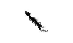 CCCCCCC=CCC(CC(C)=O)OC(=O)CC(CCCC)OC(=O)CC(C)OC(=O)CC(CSc1ccc(F)cc1)OC